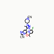 Cc1c(-c2cc(OC(C)c3ccc(F)cn3)n3c(C#N)cnc3c2)nnn1C1CCCN(C#N)CC1